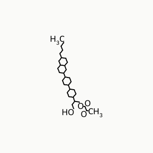 CCCCCC1CCC2CC(C3CCC(C4CCC(C(CCO)COC(=O)C(C)=O)CC4)CC3)CCC2C1